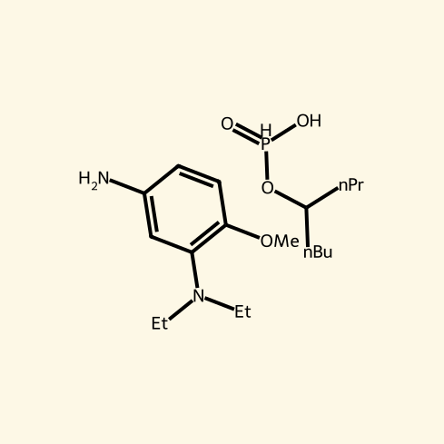 CCCCC(CCC)O[PH](=O)O.CCN(CC)c1cc(N)ccc1OC